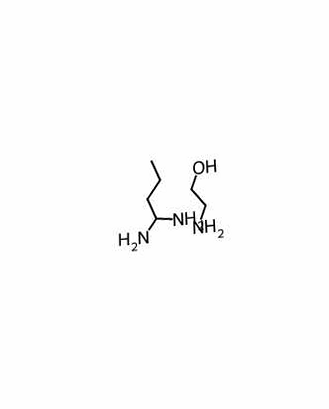 CCCC(N)N.NCCO